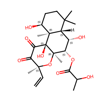 C=C[C@]1(C)O[C@]2(C)[C@@H](OC(=O)C(C)O)[C@@H](O)[C@H]3C(C)(C)CC[C@H](O)[C@]3(C)[C@@]2(O)C(=O)C1=O